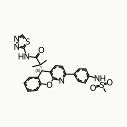 CC(C)(C(=O)Nc1nncs1)[C@H]1c2ccccc2Oc2nc(-c3ccc(NS(C)(=O)=O)cc3)ccc21